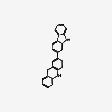 c1ccc2c(c1)Nc1ccc(-c3ccc4c(c3)[nH]c3ccccc34)cc1S2